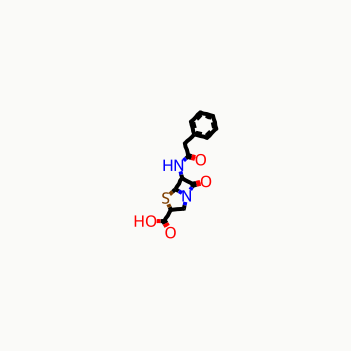 O=C(Cc1ccccc1)NC1C(=O)N2CC(C(=O)O)SC12